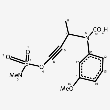 CNS(=O)(=O)OC#CC(C)N(C(=O)O)c1cccc(OC)c1